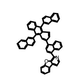 c1ccc2cc(-c3c4ccccc4c(-c4ccc5ccccc5c4)c4cc(-c5ccc(-c6nccc7c6oc6ccccc67)c6ccccc56)ccc34)ccc2c1